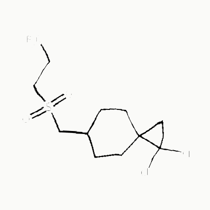 O=S(=O)(CCC(F)(F)F)CC1CCC2(CC1)CC2(Cl)Cl